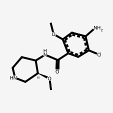 COc1cc(N)c(Cl)cc1C(=O)NC1CCNC[C@@H]1OC